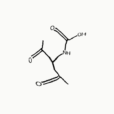 CC(=O)C(NC(=O)O)C(C)=O